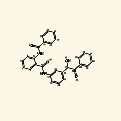 O=C(Nc1ccccc1C(=O)Nc1cccc(C(O)C(=O)c2ccccc2)c1)c1ccccc1